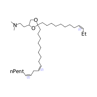 CC/C=C\CCCCCCCCC1(CCCCCCCC/C=C\C/C=C\CCCCC)OCC(CCN(C)C)O1